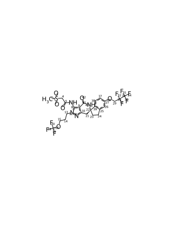 CS(=O)(=O)CC(=O)Nc1c2c(nn1CCCOC(F)(F)F)C[C@@]1(CCc3cc(OCC(F)(F)C(F)(F)F)ccc31)NC2=O